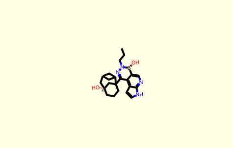 CCCN1N=C(C23CCC[C@@](O)(CC4CC2C4)C3)c2c(cnc3[nH]ccc23)B1O